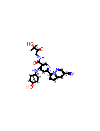 CC(C)(O)C(=O)CNC(=O)c1cnc(-c2ccc3cc(C#N)cnn23)cc1NC12CCC(O)(CC1)CC2